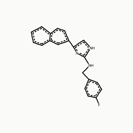 Fc1ccc(CNc2nc(-c3ccc4ccccc4c3)c[nH]2)cc1